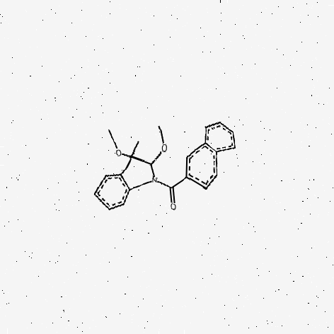 COC1N(C(=O)c2ccc3ccccc3c2)c2ccccc2C1(C)OC